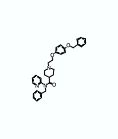 O=C(C1CCN(CCOc2ccc(OCc3ccccc3)cc2)CC1)N(Cc1ccccc1)c1ccccn1